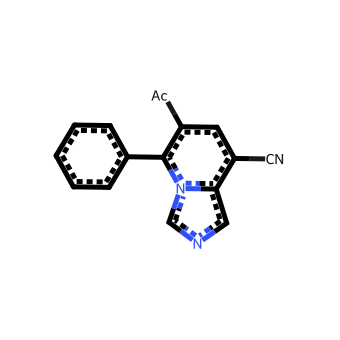 CC(=O)c1cc(C#N)c2cncn2c1-c1ccccc1